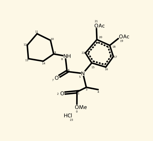 COC(=O)C(C)N(C(=O)NC1CCCCC1)c1ccc(OC(C)=O)c(OC(C)=O)c1.Cl